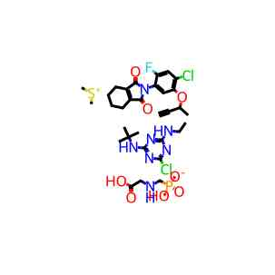 C#CC(C)Oc1cc(N2C(=O)C3=C(CCCC3)C2=O)c(F)cc1Cl.CCNc1nc(Cl)nc(NC(C)(C)C)n1.C[S+](C)C.O=C(O)CNCP(=O)([O-])O